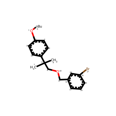 CCCCOc1ccc(C(C)(C)COCc2cccc(Br)c2)cc1